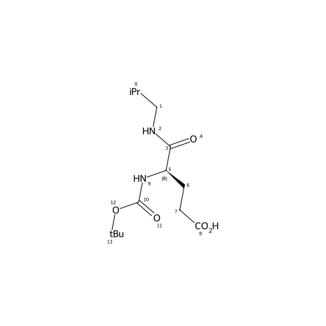 CC(C)CNC(=O)[C@@H](CCC(=O)O)NC(=O)OC(C)(C)C